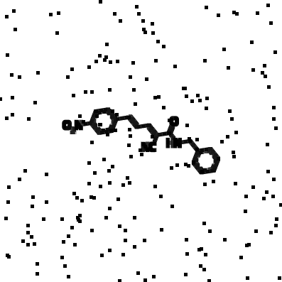 N#C/C(=C\C=C\c1ccc([N+](=O)[O-])cc1)C(=O)NCc1ccccc1